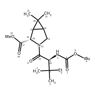 CCC(C)(C)[C@H](NC(=O)OC(C)(C)C)C(=O)N1CC2C([C@H]1C(=O)OC)C2(C)C